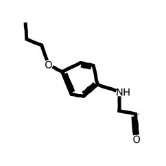 CCCOc1ccc(NC[C]=O)cc1